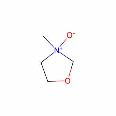 C[N+]1([O-])CCOC1